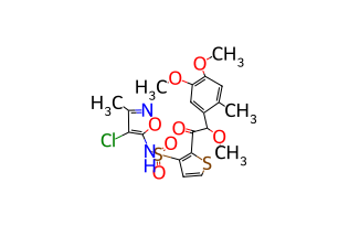 COc1cc(C)c(C(OC)C(=O)c2sccc2S(=O)(=O)Nc2onc(C)c2Cl)cc1OC